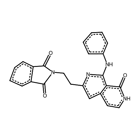 O=C1c2ccccc2C(=O)N1CCc1cc2cc[nH]c(=O)c2c(Nc2ccccc2)n1